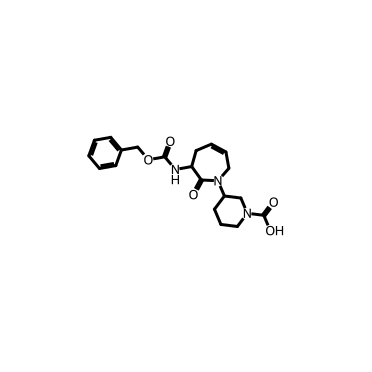 O=C(NC1CC=CCN(C2CCCN(C(=O)O)C2)C1=O)OCc1ccccc1